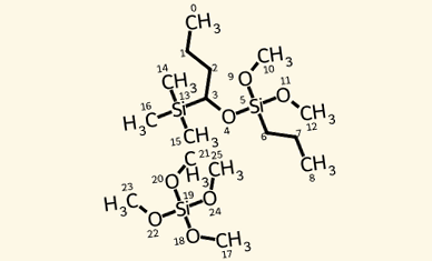 CCCC(O[Si](CCC)(OC)OC)[Si](C)(C)C.CO[Si](OC)(OC)OC